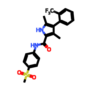 Cc1[nH]c(C(=O)Nc2ccc(S(C)(=O)=O)cc2)c(C)c1-c1ccccc1C(F)(F)F